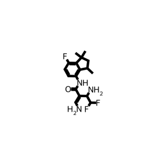 CC1CC(C)(C)c2c(F)ccc(NC(=O)/C(=C/N)C(N)C(F)F)c21